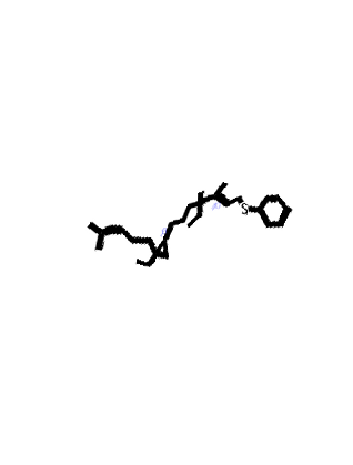 CCC(C)(CC/C=C1\CC1(CC)CCC=C(C)C)/C(C)=C/CSc1ccccc1